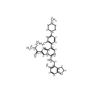 Cc1nc(N2CCN(C)CC2)ccc1-c1cnc(NCc2c(F)ccc3c2CCO3)n2cc(C(=O)C(C)C)nc12